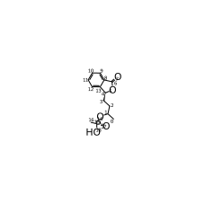 CC(CC[C@@H]1OC(=O)c2ccccc21)OP(C)(=O)O